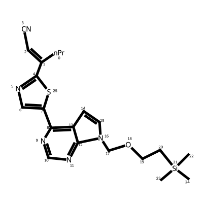 CCCC(=CC#N)c1ncc(-c2ncnc3c2ccn3COCC[Si](C)(C)C)s1